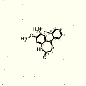 COc1cc2c(cc1N)C(c1ccccc1Cl)=NCC(=O)N2